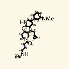 CNc1cc(-c2c[nH]c(=O)c(N(CC3CC3)[C@@H]3CCCN(C(=O)/C=C/CNC(C)C)C3)c2)ccn1